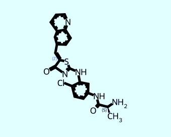 C[C@H](N)C(=O)Nc1ccc(Cl)c(NC2=NC(=O)/C(=C/c3ccc4ncccc4c3)S2)c1